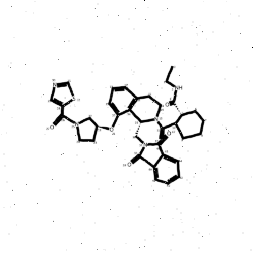 CCNC(=O)[C@@H]1CCCCC1C(=O)N1CCc2cccc(O[C@H]3CCN(C(=O)c4cncs4)C3)c2[C@H]1CN1C(=O)c2ccccc2C1=O